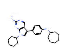 CCCCNc1ncc2c(-c3ccc(NC4CCCCCC4)cc3)cn(C3CCCCC3)c2n1